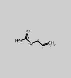 C=CCOC(=S)S